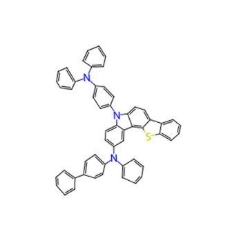 c1ccc(-c2ccc(N(c3ccccc3)c3ccc4c(c3)c3c5sc6ccccc6c5ccc3n4-c3ccc(N(c4ccccc4)c4ccccc4)cc3)cc2)cc1